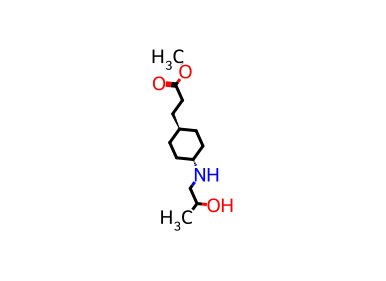 COC(=O)CC[C@H]1CC[C@H](NCC(C)O)CC1